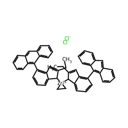 CCC1=Cc2c(-c3c4ccccc4cc4ccccc34)cccc2[CH]1[Zr+2]1([CH]2C(CC)=Cc3c(-c4c5ccccc5cc5ccccc45)cccc32)[CH2][CH2]1.[Cl-].[Cl-]